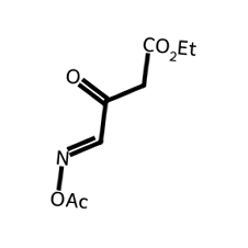 CCOC(=O)CC(=O)C=NOC(C)=O